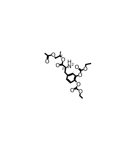 CCOC(=O)Oc1ccc(C[C@H](N)C(=O)O[C@H](C)COC(C)=O)cc1OC(=O)OCC